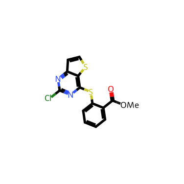 COC(=O)c1ccccc1Sc1nc(Cl)nc2ccsc12